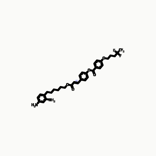 Nc1ccc(CCCCCCOC(=O)/C=C/c2ccc(OC(=O)c3ccc(OCCCC(F)(F)C(F)(F)F)cc3)cc2)c(N)c1